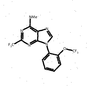 CNc1nc(C(F)(F)F)nc2c1ncn2-c1ccccc1OC(F)(F)F